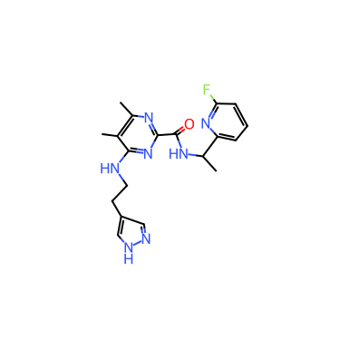 Cc1nc(C(=O)NC(C)c2cccc(F)n2)nc(NCCc2cn[nH]c2)c1C